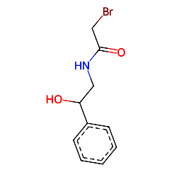 O=C(CBr)NCC(O)c1ccccc1